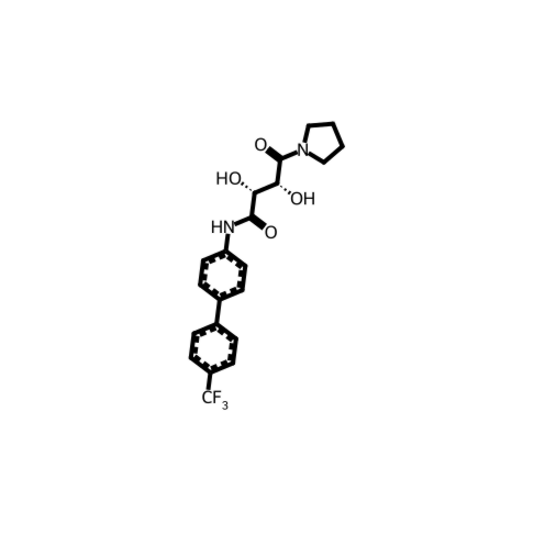 O=C(Nc1ccc(-c2ccc(C(F)(F)F)cc2)cc1)[C@H](O)[C@@H](O)C(=O)N1CCCC1